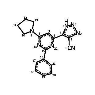 N#Cc1nn[nH]c1-c1cc(N2CCCC2)nc(-c2ccccc2)n1